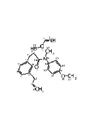 C=CCc1cccc(C[C@H](BOC=N)C(=O)N(C)c2ccc(OC)cc2)c1